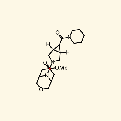 COC(=O)N1C2COCC1CC(N1C[C@@H]3C(C(=O)N4CCCCC4)[C@@H]3C1)C2